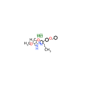 CCCCc1nnc(OC(C)C2CNCC2COC)cc1-c1ccc(OCc2ccccc2)cc1.Cl.Cl